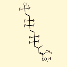 CC(=CC(F)CC(F)(F)C(F)(F)CCC(F)(F)C(F)(F)CCC(F)(F)C(F)(F)F)C(=O)O